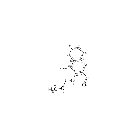 COCOc1c(C=O)cc2ccccc2c1F